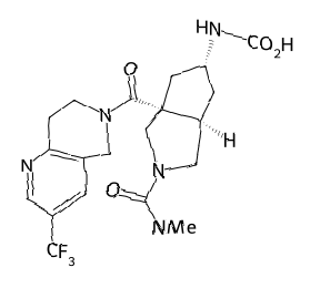 CNC(=O)N1C[C@@H]2C[C@@H](NC(=O)O)C[C@]2(C(=O)N2CCc3ncc(C(F)(F)F)cc3C2)C1